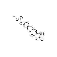 CCOC(=O)Oc1ccc2cc(SC3NC(=O)SC3=O)ccc2c1